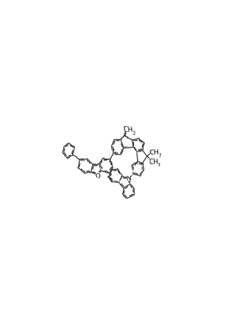 C=C1c2ccc(-c3ccc4oc5ccc(-c6ccccc6)cc5c4c3)cc2-c2c1ccc1c2-c2cc(-n3c4ccccc4c4ccccc43)ccc2C1(C)C